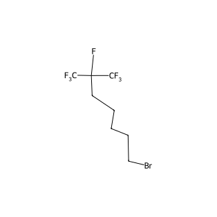 FC(F)(F)C(F)(CCCCCBr)C(F)(F)F